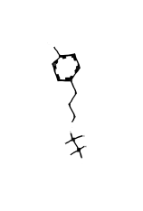 CC(F)(F)C(F)(F)OCCCc1ccc(Br)cc1